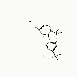 CCCCCCCC(C)(C)c1ccc2c(c1)OC(C)(C)[C@@]1(O)CC=C(CO[N+](=O)[O-])C[C@H]21